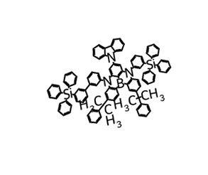 CC(C)(c1ccccc1)c1ccc2c(c1)B1c3ccc(C(C)(C)c4ccccc4)cc3N(c3cccc(-c4cccc([Si](c5ccccc5)(c5ccccc5)c5ccccc5)c4)c3)c3cc(-n4c5ccccc5c5ccccc54)cc(c31)N2c1cccc([Si](c2ccccc2)(c2ccccc2)c2ccccc2)c1